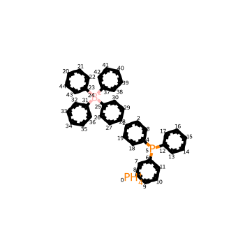 [PH4+].c1ccc(P(c2ccccc2)c2ccccc2)cc1.c1ccc([B-](c2ccccc2)(c2ccccc2)c2ccccc2)cc1